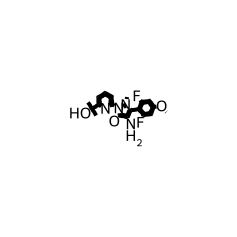 COc1cc(F)c(-c2c(N)c(=O)n(-c3cccc(C(C)(C)O)n3)n2C)c(F)c1